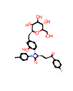 Cc1ccc(N2C(=O)[C@H](CCC(=O)c3ccc(F)cc3)[C@H]2c2ccc(C[C@@H]3OC(CO)[C@@H](O)C(O)[C@@H]3O)cc2O)cc1